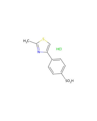 Cc1nc(-c2ccc(S(=O)(=O)O)cc2)cs1.Cl